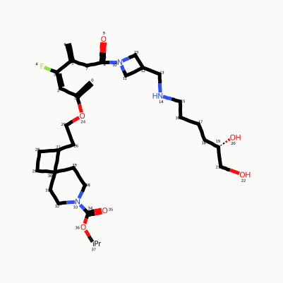 C=C(/C=C(/F)C(=C)CC(=O)N1CC(CNCCCC[C@H](O)CO)C1)OCCC1CCC12CCN(C(=O)OC(C)C)CC2